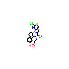 O=C(c1cc2cnc(Cl)nc2n1C1CCCC1)N(CCCO)Cc1ccccc1